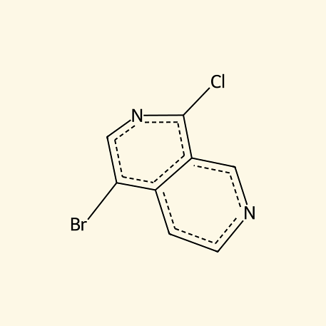 Clc1ncc(Br)c2ccncc12